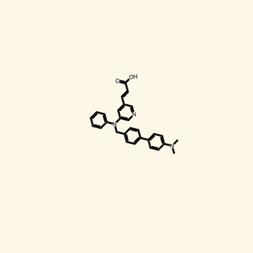 CN(C)c1ccc(-c2ccc(CN(c3ccccc3)c3cncc(/C=C/C(=O)O)c3)cc2)cc1